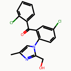 Cc1cn(-c2ccc(Cl)cc2C(=O)c2ccccc2Cl)c(CO)n1